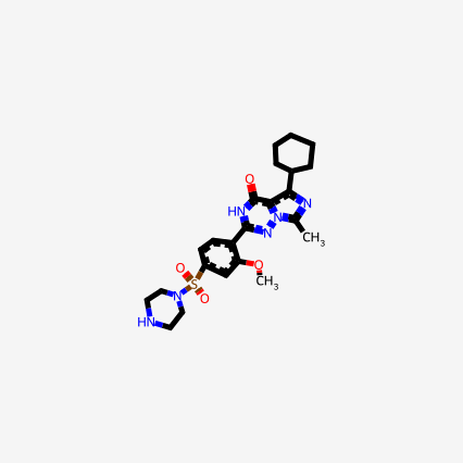 COc1cc(S(=O)(=O)N2CCNCC2)ccc1-c1nn2c(C)nc(C3CCCCC3)c2c(=O)[nH]1